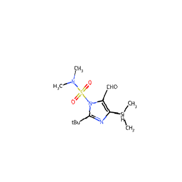 CN(C)S(=O)(=O)n1c(C(C)(C)C)nc([SiH](C)C)c1C=O